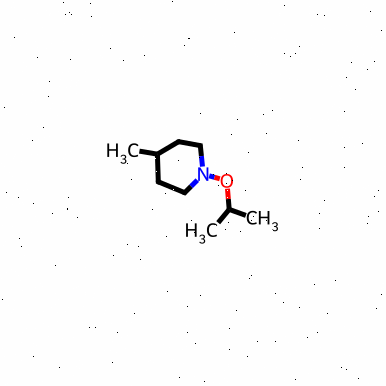 CC1CCN(OC(C)C)CC1